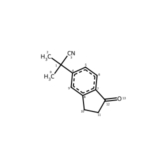 CC(C)(C#N)c1ccc2c(c1)CCC2=O